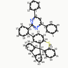 c1ccc(-c2cc(-c3ccccc3)nc(-c3ccccc3-c3ccc4c(c3)C3(c5ccccc5S4)c4ccccc4-c4ccccc43)n2)cc1